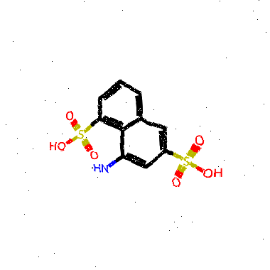 [NH]c1cc(S(=O)(=O)O)cc2cccc(S(=O)(=O)O)c12